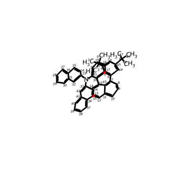 CC(C)(C)c1cc(-c2cccc3cccc(-c4ccccc4N(c4ccc5ccccc5c4)c4ccc5ccccc5c4)c23)cc(C(C)(C)C)c1